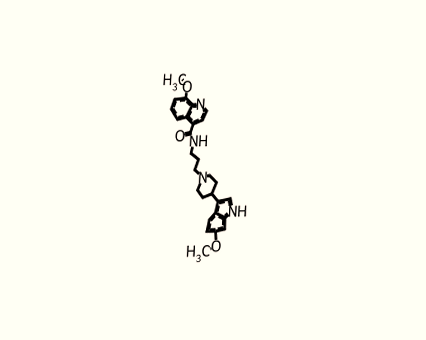 COc1ccc2c(C3CCN(CCCNC(=O)c4ccnc5c(OC)cccc45)CC3)c[nH]c2c1